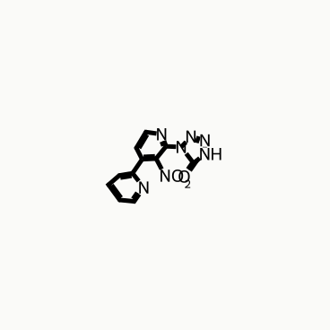 O=c1[nH]nnn1-c1nccc(-c2ccccn2)c1[N+](=O)[O-]